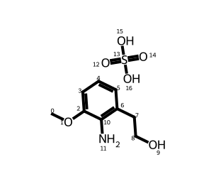 COc1cccc(CCO)c1N.O=S(=O)(O)O